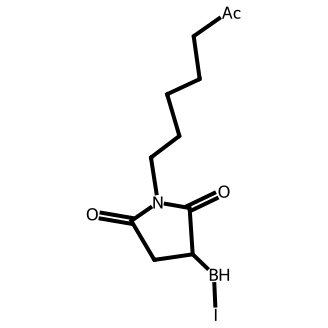 CC(=O)CCCCCN1C(=O)CC(BI)C1=O